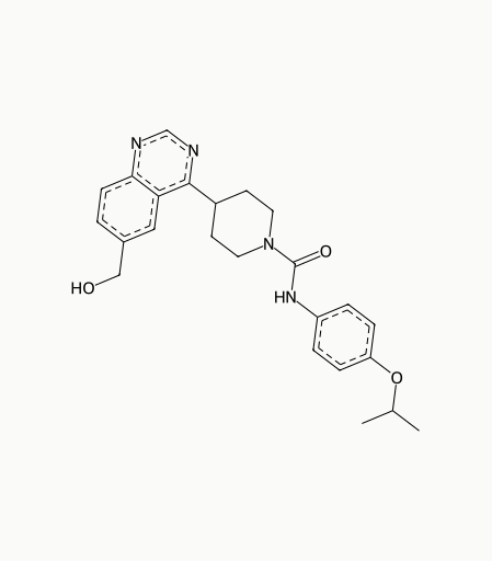 CC(C)Oc1ccc(NC(=O)N2CCC(c3ncnc4ccc(CO)cc34)CC2)cc1